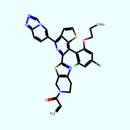 C=CC(=O)N1CCc2nc(-c3nc(-c4ccc5nncn5c4)c4ccsc4c3-c3c(F)cc(F)cc3OCCOC)sc2C1